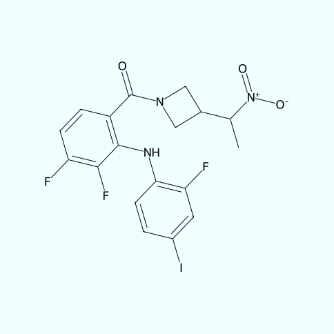 CC(C1CN(C(=O)c2ccc(F)c(F)c2Nc2ccc(I)cc2F)C1)[N+](=O)[O-]